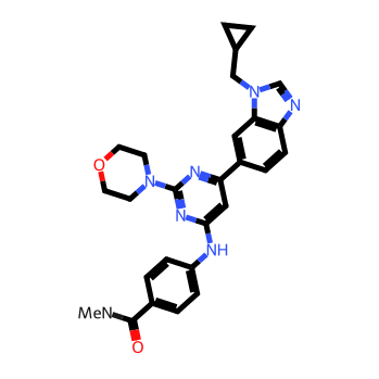 CNC(=O)c1ccc(Nc2cc(-c3ccc4ncn(CC5CC5)c4c3)nc(N3CCOCC3)n2)cc1